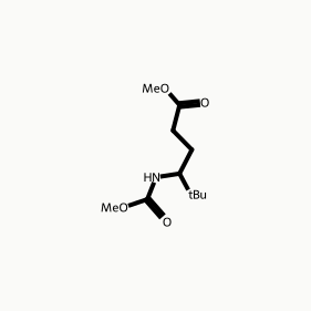 COC(=O)CCC(NC(=O)OC)C(C)(C)C